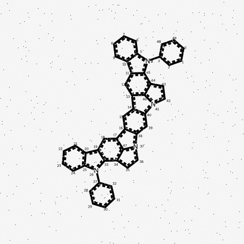 c1ccc(-n2c3ccccc3c3cc4c5cc6c7cc8c9ccccc9n(-c9ccccc9)c8c8ccn(c6cc5n5ccc(c32)c45)c78)cc1